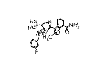 Cc1oc2c(C(N)=O)cccc2c1-c1ncc(B(O)O)c(NCc2cccc(F)c2)n1